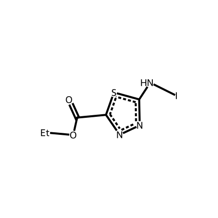 CCOC(=O)c1nnc(NI)s1